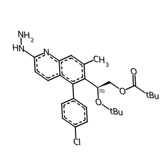 Cc1cc2nc(NN)ccc2c(-c2ccc(Cl)cc2)c1[C@@H](COC(=O)C(C)(C)C)OC(C)(C)C